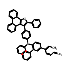 C=C/C=C\C(=C/C)c1ccc(N(c2ccccc2)c2ccc(-c3c(-c4ccccc4)oc4c5ccccc5c5ccccc5c34)cc2)c(-c2ccccc2)c1